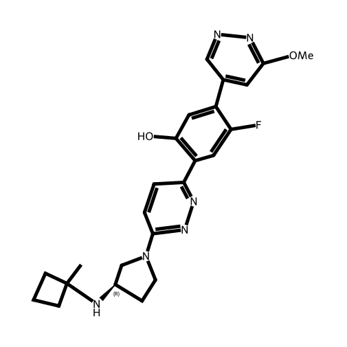 COc1cc(-c2cc(O)c(-c3ccc(N4CC[C@@H](NC5(C)CCC5)C4)nn3)cc2F)cnn1